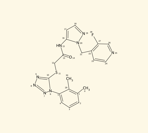 Cc1cccc(-n2nnnc2SCC(=O)Nc2ccnn2Cc2ccncc2F)c1C